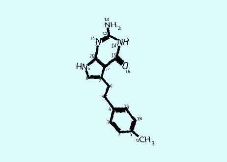 Cc1ccc(CCC2=CNC3N=C(N)NC(=O)C23)cc1